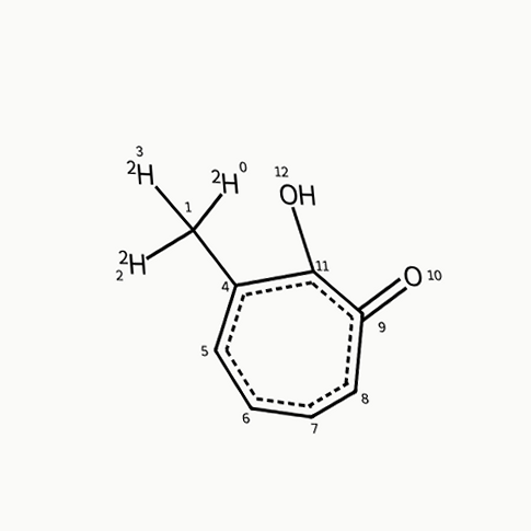 [2H]C([2H])([2H])c1ccccc(=O)c1O